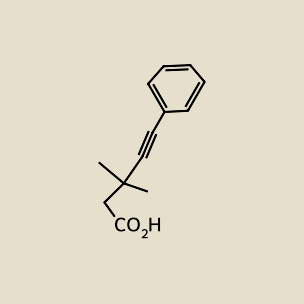 CC(C)(C#Cc1ccccc1)CC(=O)O